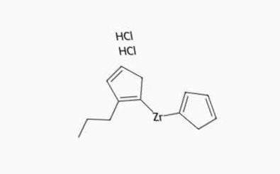 CCCC1=[C]([Zr][C]2=CC=CC2)CC=C1.Cl.Cl